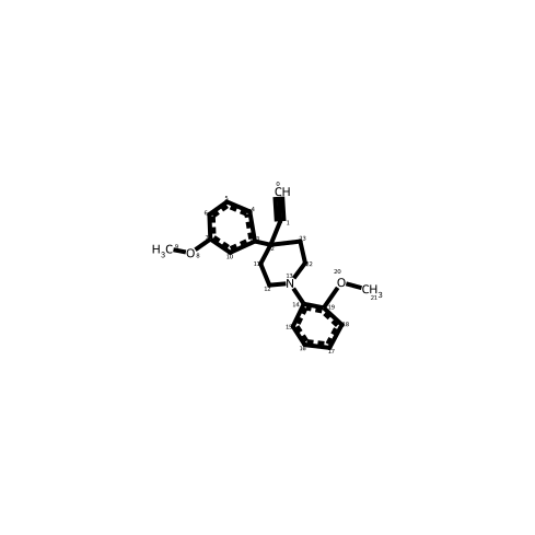 C#CC1(c2cccc(OC)c2)CCN(c2ccccc2OC)CC1